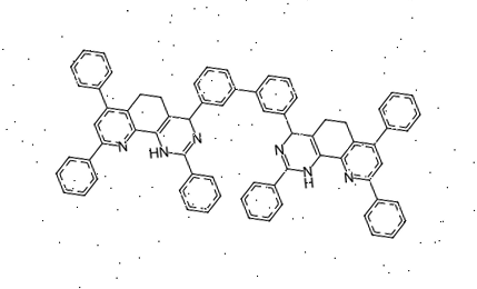 c1ccc(C2=NC(c3cccc(-c4cccc(C5N=C(c6ccccc6)NC6=C5CCc5c(-c7ccccc7)cc(-c7ccccc7)nc56)c4)c3)C3=C(N2)c2nc(-c4ccccc4)cc(-c4ccccc4)c2CC3)cc1